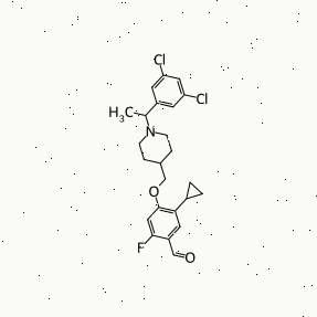 CC(c1cc(Cl)cc(Cl)c1)N1CCC(COc2cc(F)c(C=O)cc2C2CC2)CC1